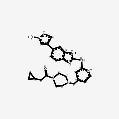 Cn1cc(-c2ccc3nc(Nc4cc(CN5CCN(C(=O)CC6CC6)CC5)ccn4)[nH]c3c2)cn1